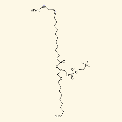 CCCCC/C=C\C/C=C\CCCCCCCCCCCC(=O)O[C@H](COCCCCCCCCCCCCCCCCCC)COP(=O)([O-])OCC[N+](C)(C)C